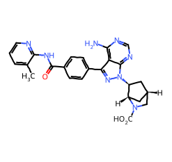 Cc1cccnc1NC(=O)c1ccc(-c2nn([C@H]3C[C@H]4C[C@@H]3N(C(=O)O)C4)c3ncnc(N)c23)cc1